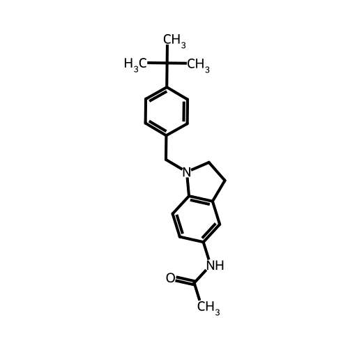 CC(=O)Nc1ccc2c(c1)CCN2Cc1ccc(C(C)(C)C)cc1